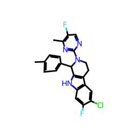 Cc1ccc(C2c3[nH]c4cc(F)c(Cl)cc4c3CCN2c2ncc(F)c(C)n2)cc1